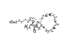 CCCCCCCCCCCCCCC(C)OC(C)C(=O)NCC1CCCCCCCCCCCCCCC1